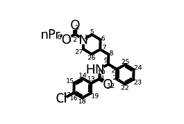 CCCOC(=O)N1CCC(CC(NC(=O)c2ccc(Cl)cc2)c2ccccc2)CC1